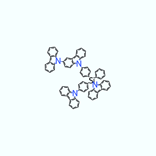 c1ccc([Si](c2ccc(-n3c4ccccc4c4ccccc43)cc2)(c2ccc(-n3c4ccccc4c4cc(-n5c6ccccc6c6ccccc65)ccc43)cc2)n2c3ccccc3c3ccccc32)cc1